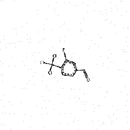 O=Cc1ccc(C(Cl)(Cl)Cl)c(F)c1